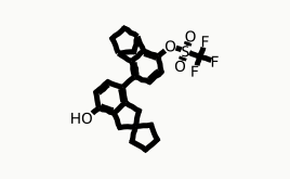 O=S(=O)(Oc1ccc(-c2ccc(O)c3c2CC2(CCCC2)C3)c2c1C1CCC2C1)C(F)(F)F